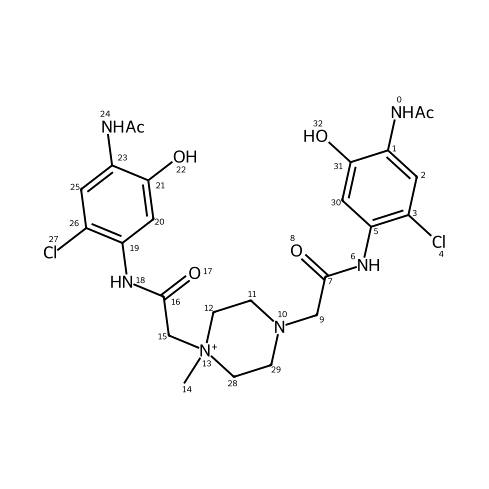 CC(=O)Nc1cc(Cl)c(NC(=O)CN2CC[N+](C)(CC(=O)Nc3cc(O)c(NC(C)=O)cc3Cl)CC2)cc1O